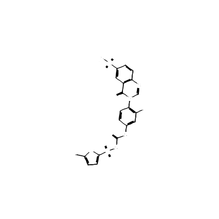 NS(=O)(=O)c1ccc2ncn(-c3ccc(NC(=O)NS(=O)(=O)c4ccc(Cl)s4)cc3Cl)c(=O)c2c1